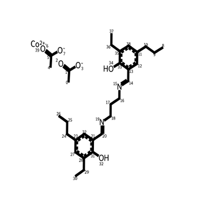 CC(=O)[O-].CC(=O)[O-].CCCc1cc(C=NCCCN=Cc2cc(CCC)cc(CC)c2O)c(O)c(CC)c1.[Co+2]